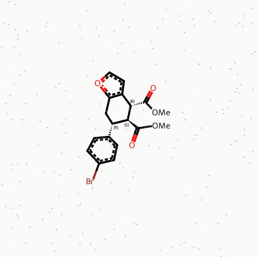 COC(=O)[C@H]1[C@H](c2ccc(Br)cc2)Cc2occc2[C@@H]1C(=O)OC